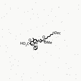 CCCCCCCCCCCCCCCC(=O)N(OC)C1CN(c2cc(C)c3c(=O)c(C(=O)O)cn(-c4nccs4)c3n2)C1